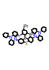 CC(C)c1cc(C(C)C)c(B2c3cc(N4c5ccccc5N(c5ccccc5)c5ccccc54)ccc3Sc3ccc(N4c5ccccc5N(c5ccccc5)c5ccccc54)cc32)c(C(C)C)c1